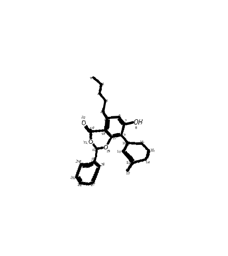 CCCCCc1cc(O)c(C2C=C(C)CCC2)c2c1C(=O)OC(c1ccccc1)O2